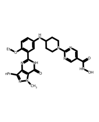 CCCc1nn(C)c2c(=O)[nH]c(-c3cc(NC4CCN(c5ncc(C(=O)NO)cn5)CC4)ccc3OCC)nc12